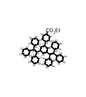 CCOC(=O)c1ccc(-c2cc(C(=C(c3ccccc3)c3ccccc3)c3ccccc3)cc(C(=C(c3ccccc3)c3ccccc3)c3ccccc3)c2)cc1